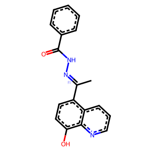 C/C(=N\NC(=O)c1ccccc1)c1ccc(O)c2ncccc12